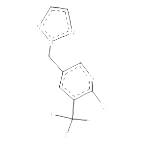 FC(F)(F)c1cc(Cn2nccn2)cnc1Cl